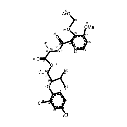 CCC(CC)[C@@H](Oc1ccc(Cl)cc1Cl)[C@H](C)OC(=O)[C@H](C)NC(=O)c1nccc(OC)c1OCOC(C)=O